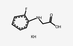 O=C(O)CNc1ccccc1F.[KH]